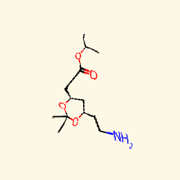 CC(C)OC(=O)C[C@H]1CC(CCN)OC(C)(C)O1